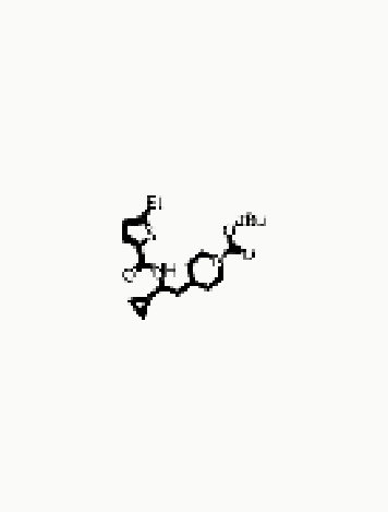 CCc1ccc(C(=O)NC(CC2CCN(C(=O)OC(C)(C)C)CC2)C2CC2)s1